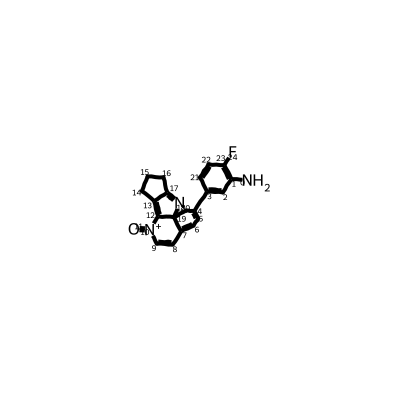 Nc1cc(C2=CC=C3C=C[N+](=O)C4=C5CCCC5=NC34C2)ccc1F